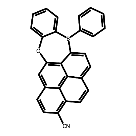 N#Cc1ccc2cc3c4c(ccc5ccc1c2c54)B(c1ccccc1)c1ccccc1O3